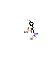 CCC(CCNC(=O)OC(C)(C)C)(Cc1ccc(Cl)cc1)N(C)[S+]([O-])C(C)(C)C